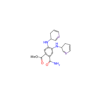 COC(=O)c1cc(NC2C=IC=CC2)c(NC2C=IC=CC2)cc1C(N)=O